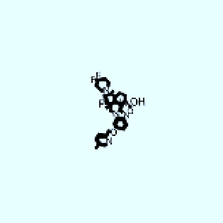 Cc1ccc(COc2ccc3nc4n(c3c2)CC2(C)C(F)=CC(C)(N3CCC(F)(F)CC3)C3=C2[C@H]4[C@H](C(=O)O)CC3)nc1